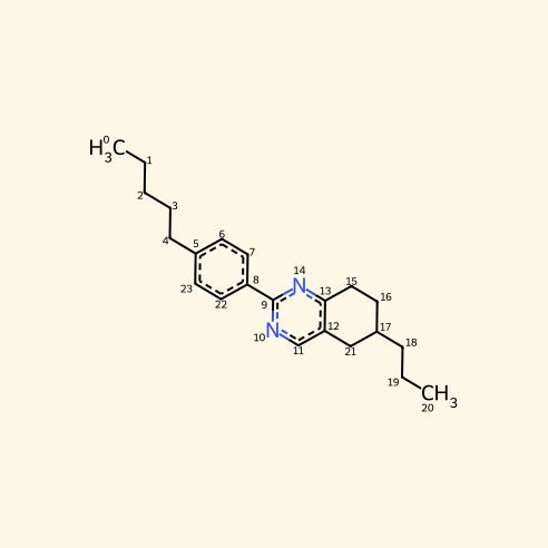 CCCCCc1ccc(-c2ncc3c(n2)CCC(CCC)C3)cc1